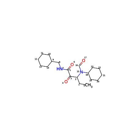 CCC(C(=O)C(=O)NCC1CCCCC1)N(C=O)C1CCCCC1